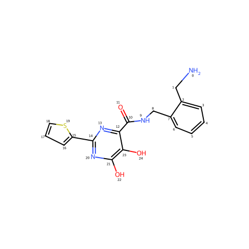 NCc1ccccc1CNC(=O)c1nc(-c2cccs2)nc(O)c1O